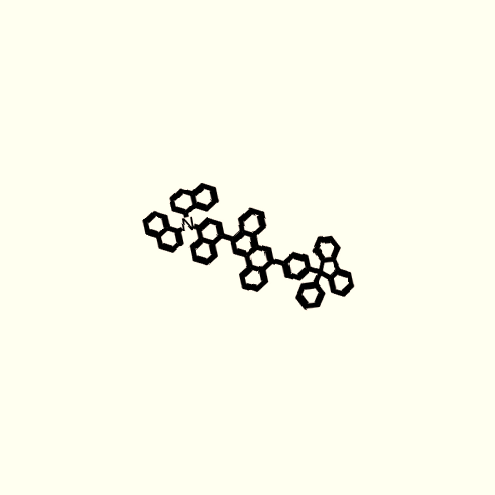 c1ccc(C2(c3ccc(-c4cc5c6ccccc6c(-c6ccc(N(c7cccc8ccccc78)c7cccc8ccccc78)c7ccccc67)cc5c5ccccc45)cc3)c3ccccc3-c3ccccc32)cc1